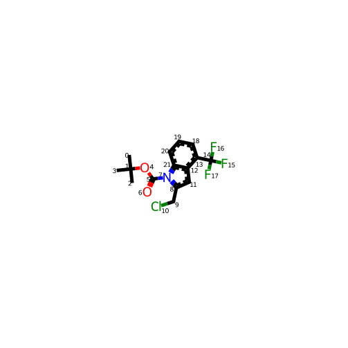 CC(C)(C)OC(=O)n1c(CCl)cc2c(C(F)(F)F)cccc21